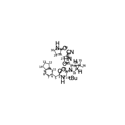 CC(C)(C)[C@H](NC(=O)Cc1ccc2c(c1)CCC2)C(=O)N1C[C@H]2[C@@H]([C@H]1C(=O)N[C@H](C#N)C[C@@H]1CCNC1=O)C2(C)C